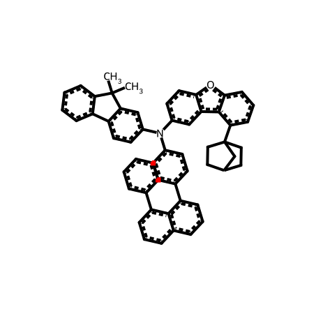 CC1(C)c2ccccc2-c2ccc(N(c3ccc(-c4cccc5cccc(-c6ccccc6)c45)cc3)c3ccc4oc5cccc(C67CCC(CC6)C7)c5c4c3)cc21